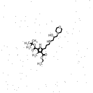 CCOC(=O)c1c(CCCNC[C@H](O)CN2CCOCC2)[nH]c(C(=O)OC(C)(C)C)c1C